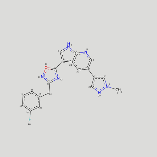 Cn1cc(-c2cnc3[nH]cc(-c4nc(Cc5cccc(F)c5)no4)c3c2)cn1